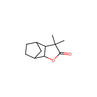 CC1(C)C(=O)OC2C3CCC(C3)C21